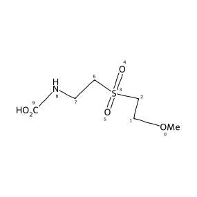 COCCS(=O)(=O)CCNC(=O)O